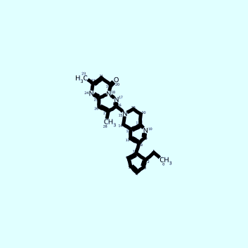 CCc1ccccc1-c1cnc2c(c1)CN(c1nn3c(=O)cc(C)nc3cc1C)CC2